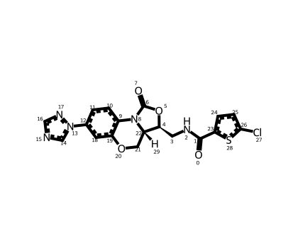 O=C(NC[C@@H]1OC(=O)N2c3ccc(-n4cncn4)cc3OC[C@@H]12)c1ccc(Cl)s1